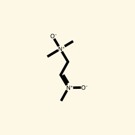 C/[N+]([O-])=C/C[N+](C)(C)[O-]